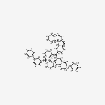 c1ccc(-c2cccc(-n3c4ccccc4c4c(N(c5ccc6ccc(-c7ccccc7)cc6c5)c5ccc6sc7ccc8ccccc8c7c6c5)cccc43)c2)cc1